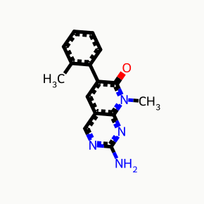 Cc1ccccc1-c1cc2cnc(N)nc2n(C)c1=O